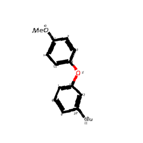 COc1ccc(Oc2cccc(C(C)(C)C)c2)cc1